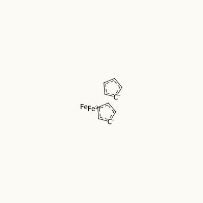 [Fe+2].[Fe].c1cc[cH-]c1.c1cc[cH-]c1